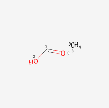 O=CO.[9CH4]